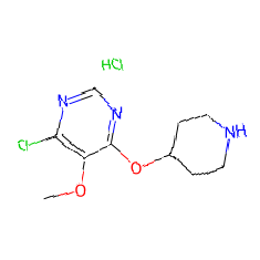 COc1c(Cl)ncnc1OC1CCNCC1.Cl